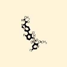 CNC(=O)c1ncn2cc(-c3c(F)ccc(NS(=O)(=O)c4cc(Cl)cnc4OC)c3Cl)ccc12